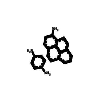 Nc1ccc(N)cc1.Nc1ccc2ccc3cccc4ccc1c2c34